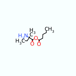 CCCCC(=O)OC(=O)C(C)(N)CC